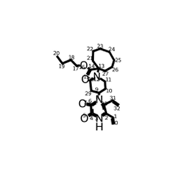 C=Cc1[nH]c(=O)c(=O)n(C2CCN(C3(C(=O)OCCCC)CCCCCCC3)CC2)c1C=C